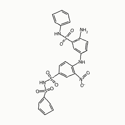 Nc1ccc(Nc2ccc(S(=O)(=O)NS(=O)(=O)c3ccccc3)cc2[N+](=O)[O-])cc1S(=O)(=O)Nc1ccccc1